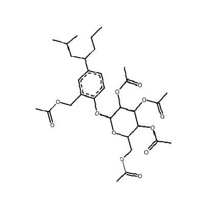 CCCC(CC(C)C)c1ccc(OC2OC(COC(C)=O)C(OC(C)=O)C(OC(C)=O)C2OC(C)=O)c(COC(C)=O)c1